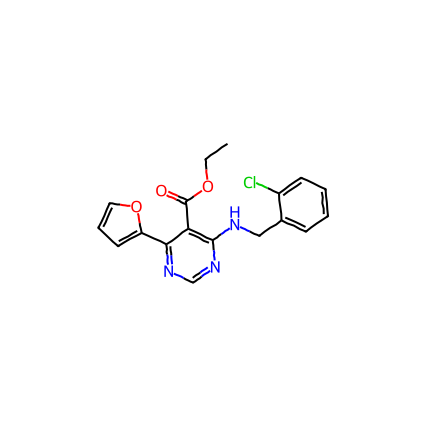 CCOC(=O)c1c(NCc2ccccc2Cl)ncnc1-c1ccco1